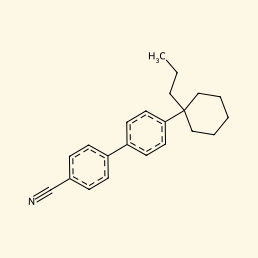 CCCC1(c2ccc(-c3ccc(C#N)cc3)cc2)CCCCC1